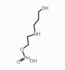 O=[PH](O)OCCNCCCO